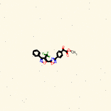 COC(=O)C(=O)c1ccc(-c2noc(-c3onc(-c4ccccc4)c3C(F)(F)F)n2)cc1